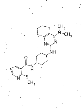 CSc1ncccc1C(=O)NC1CCC(Nc2nc3c(c(N(C)C)n2)CCCC3)CC1